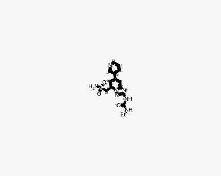 CCNC(=O)Nc1nc2cc(-c3cccnc3)cc(CS(N)(=O)=O)n2n1